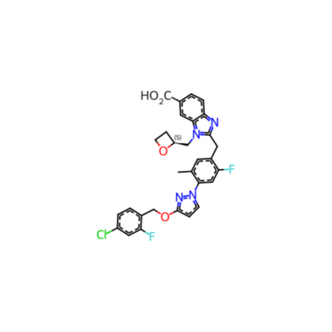 Cc1cc(Cc2nc3ccc(C(=O)O)cc3n2C[C@@H]2CCO2)c(F)cc1-n1ccc(OCc2ccc(Cl)cc2F)n1